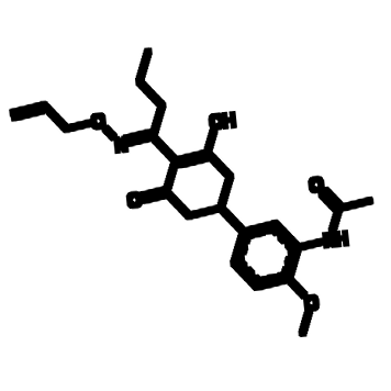 C=CCON=C(CCC)C1=C(O)CC(c2ccc(OC)c(NC(C)=O)c2)CC1=O